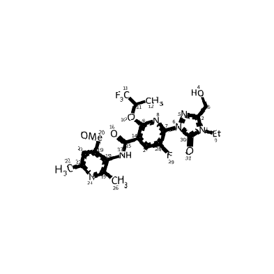 CCn1c(CO)nn(-c2nc(OC(C)C(F)(F)F)c(C(=O)Nc3c(OC)cc(C)nc3C)cc2F)c1=O